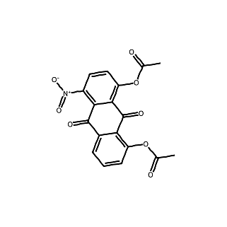 CC(=O)Oc1cccc2c1C(=O)c1c(OC(C)=O)ccc([N+](=O)[O-])c1C2=O